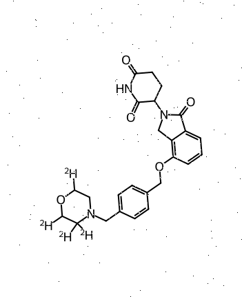 [2H]C1CN(Cc2ccc(COc3cccc4c3CN(C3CCC(=O)NC3=O)C4=O)cc2)C([2H])([2H])C([2H])O1